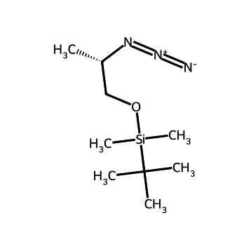 C[C@@H](CO[Si](C)(C)C(C)(C)C)N=[N+]=[N-]